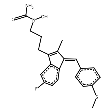 CSc1ccc(/C=C2/C(C)=C(CCCN(O)C(N)=O)c3cc(F)ccc32)cc1